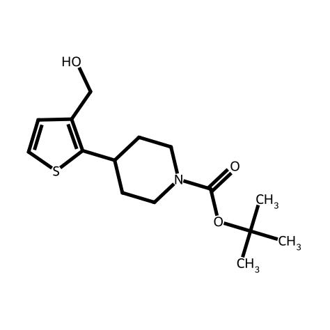 CC(C)(C)OC(=O)N1CCC(c2sccc2CO)CC1